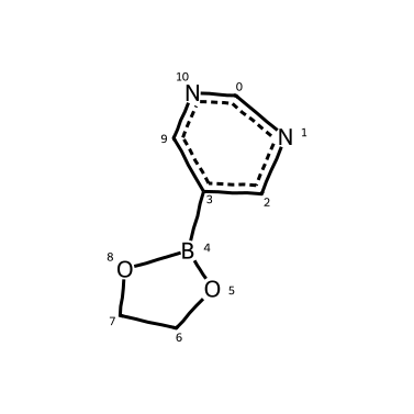 c1ncc(B2OCCO2)cn1